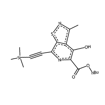 CCCCOC(=O)c1nc(C#C[Si](C)(C)C)c2snc(C)c2c1O